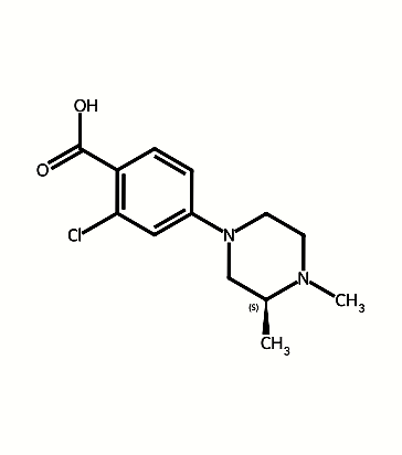 C[C@H]1CN(c2ccc(C(=O)O)c(Cl)c2)CCN1C